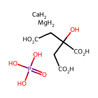 O=C(O)CC(O)(CC(=O)O)C(=O)O.O=P(O)(O)O.[CaH2].[MgH2]